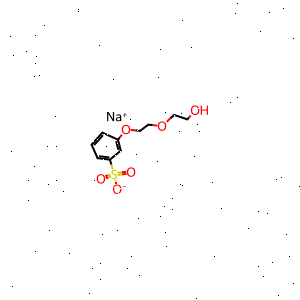 O=S(=O)([O-])c1cccc(OCCOCCO)c1.[Na+]